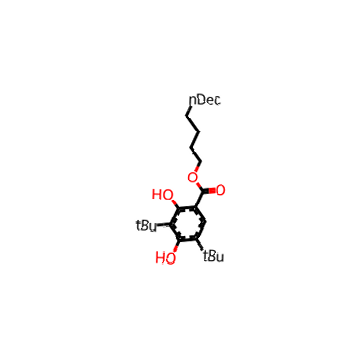 CCCCCCCCCCCCCCOC(=O)c1cc(C(C)(C)C)c(O)c(C(C)(C)C)c1O